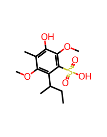 CCC(C)c1c(OC)c(C)c(O)c(OC)c1S(=O)(=O)O